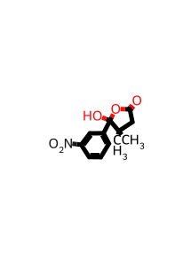 CC1(C)CC(=O)OC1(O)c1cccc([N+](=O)[O-])c1